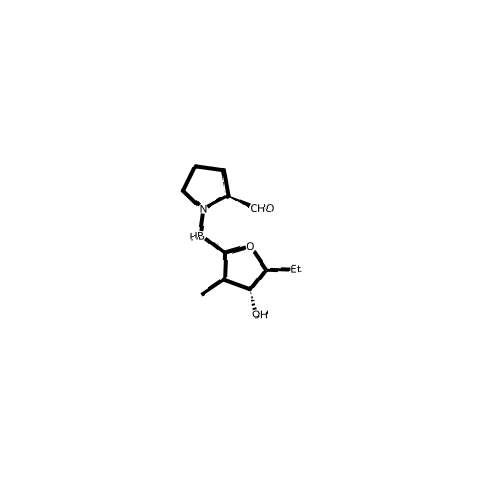 CCC1OC(BN2CCC[C@H]2C=O)C(C)[C@H]1O